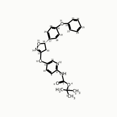 CC(C)(C)OC(=O)Nc1ccc(OC2=NO[C@H](c3ccc(Oc4ccccc4)cc3)C2)cn1